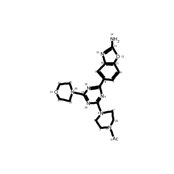 CC(=O)N1CCN(c2nc(-c3ccc4oc(N)nc4c3)nc(N3CCOCC3)n2)CC1